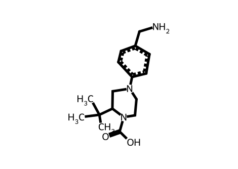 CC(C)(C)C1CN(c2ccc(CN)cc2)CCN1C(=O)O